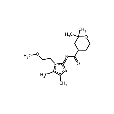 COCCn1c(C)c(C)sc1=NC(=O)C1CCOC(C)(C)C1